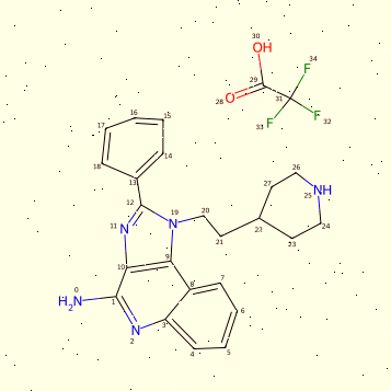 Nc1nc2ccccc2c2c1nc(-c1ccccc1)n2CCC1CCNCC1.O=C(O)C(F)(F)F